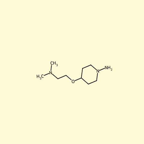 CN(C)CCOC1CCN(N)CC1